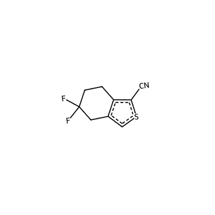 N#Cc1scc2c1CCC(F)(F)C2